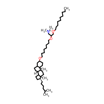 CCCCCCCCCCOCC(CN(C)C)OCCCCCCCCO[C@H]1CC[C@@]2(C)C(CC[C@@H]3C2CC[C@@]2(C)C3CC[C@@H]2CCCCC(C)C)C1